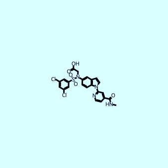 CNC(=O)c1ccnc(-n2ccc3cc(N(CC(=O)O)S(=O)(=O)c4cc(Cl)cc(Cl)c4)ccc32)c1